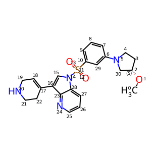 CO[C@H]1CCN(c2cccc(S(=O)(=O)n3cc(C4=CCNCC4)c4ncccc43)c2)C1